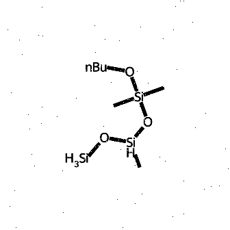 CCCCO[Si](C)(C)O[SiH](C)O[SiH3]